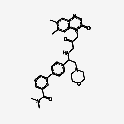 Cc1cc2ncc(=O)n(CC(=O)CNC(CN3CCOCC3)c3ccc(-c4cccc(C(=O)N(C)C)c4)cc3)c2cc1C